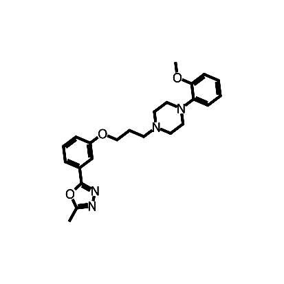 COc1ccccc1N1CCN(CCCOc2cccc(-c3nnc(C)o3)c2)CC1